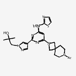 CC(=O)N1CCC2(CC1)CN(c1cc(Nc3nccs3)nc(-c3cnn(CC(C)(C)O)c3)n1)C2